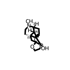 CN1CC[C@]23CC4(CC[C@H]2[C@H]1Cc1ccc(O)cc13)OCCO4